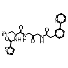 CC(C)C[C@H](NC(=O)c1cccs1)C(=O)NCC(=O)CNC(=O)Cc1cccc(-c2ccccn2)c1